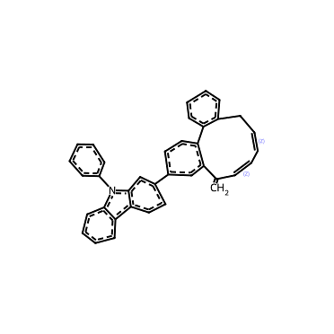 C=C1/C=C\C=C/Cc2ccccc2-c2ccc(-c3ccc4c5ccccc5n(-c5ccccc5)c4c3)cc21